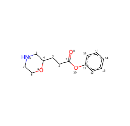 O=C(CCC1CNCCO1)Oc1ccccc1